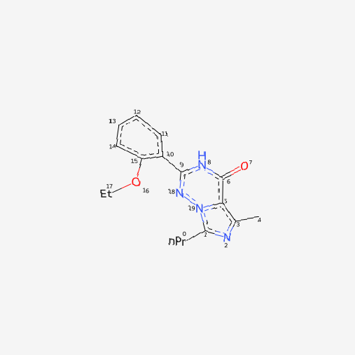 CCCc1nc(C)c2c(=O)[nH]c(-c3ccccc3OCC)nn12